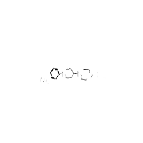 CN1CCN(C2CCN(c3cccc(C#N)c3)CC2)CC1